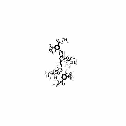 COC(=O)c1cc(OC[C@H](C/C=C/C[C@@H](COc2cc(C(=O)OC)cc([N+](=O)[O-])c2Cl)NC(=O)OC(C)(C)C)NC(=O)OC(C)(C)C)c(Cl)c([N+](=O)[O-])c1